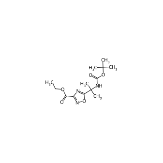 CCOC(=O)c1noc(C(C)(C)NC(=O)OC(C)(C)C)n1